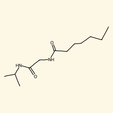 CCCCCCC(=O)NCC(=O)NC(C)C